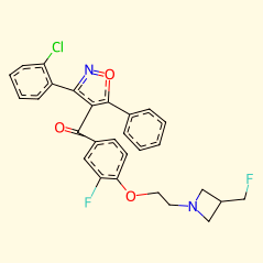 O=C(c1ccc(OCCN2CC(CF)C2)c(F)c1)c1c(-c2ccccc2Cl)noc1-c1ccccc1